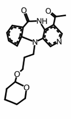 CC(=O)c1cncc2c1NC(=O)c1ccccc1N2CCCOC1CCCCO1